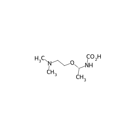 CC(NC(=O)O)OCCN(C)C